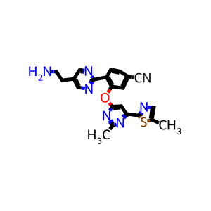 Cc1nc(Oc2cc(C#N)ccc2-c2ncc(CCN)cn2)cc(-c2ncc(C)s2)n1